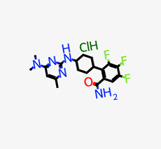 Cc1cc(N(C)C)nc(NC2CCC(c3c(C(N)=O)cc(F)c(F)c3F)CC2)n1.Cl